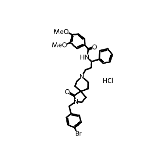 COc1ccc(C(=O)NC(CCN2CCC3(CC2)CCN(Cc2ccc(Br)cc2)C3=O)c2ccccc2)cc1OC.Cl